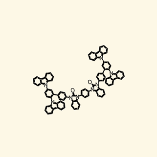 O=c1n(-c2ccc(-c3cc(-n4c5ccccc5c5ccccc54)ccc3-n3c4ccccc4c4ccccc43)cc2)c2ccccc2n1-c1ccc(-n2c(=O)n(-c3ccc(-c4cc(-n5c6ccccc6c6ccccc65)ccc4-n4c5ccccc5c5ccccc54)cc3)c3ccccc32)cc1